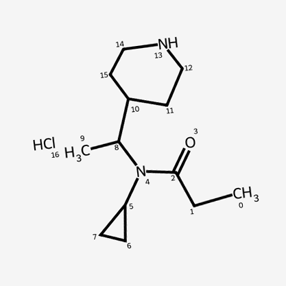 CCC(=O)N(C1CC1)C(C)C1CCNCC1.Cl